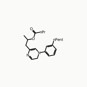 CCCCCc1cccc(N2C=C(CC(C)OC(=O)CCC)N=CC2)c1